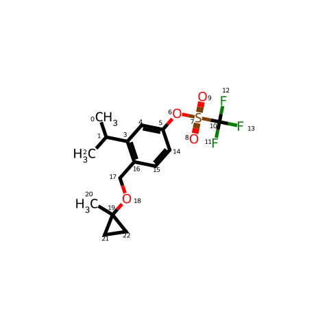 CC(C)c1cc(OS(=O)(=O)C(F)(F)F)ccc1COC1(C)CC1